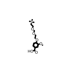 COc1cc(C(=O)O)ccc1OCCOCOCC[Si](C)(C)C